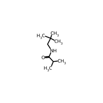 CC(C)C(=O)NCC(C)(C)C